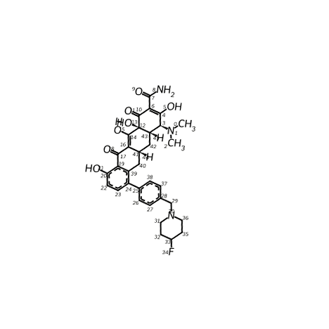 CN(C)[C@@H]1C(O)=C(C(N)=O)C(=O)[C@@]2(O)C(O)=C3C(=O)c4c(O)ccc(-c5ccc(CN6CCC(F)CC6)cc5)c4C[C@H]3C[C@@H]12